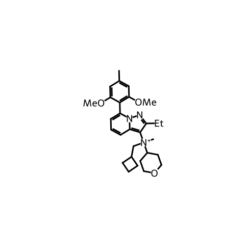 CCc1nn2c(-c3c(OC)cc(C)cc3OC)cccc2c1[N+](C)(CC1CCC1)C1CCOCC1